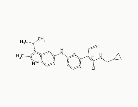 Cc1nc2cnc(Nc3ccnc(/C(C=N)=C(\Cl)NCC4CC4)n3)cc2n1C(C)C